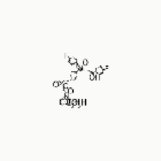 O=C(O)CN(CC(=O)O)C(=O)COC1(CCc2ccc([C@@H]3[C@@H](CC[C@H](O)c4ccc(F)cc4)C(=O)N3c3ccc(F)cc3)cc2)COC1